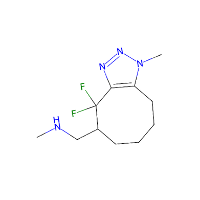 CNCC1CCCCc2c(nnn2C)C1(F)F